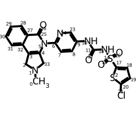 CN1Cc2c(n(-c3ccc(NC(=O)NS(=O)(=O)c4ccc(Cl)s4)cn3)c(=O)c3ccccc23)C1